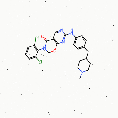 CN1CCC(Cc2ccc(Nc3ncc4c(n3)OCN(c3c(Cl)cccc3Cl)C4=O)cc2)CC1